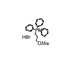 Br.COCCC[PH](c1ccccc1)(c1ccccc1)c1ccccc1